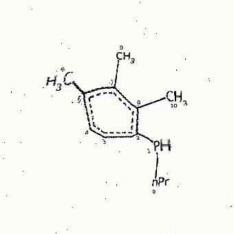 CCCPc1ccc(C)c(C)c1C